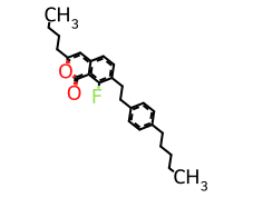 CCCCCc1ccc(CCc2ccc3cc(CCCC)oc(=O)c3c2F)cc1